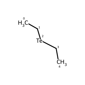 CC[Te]CC